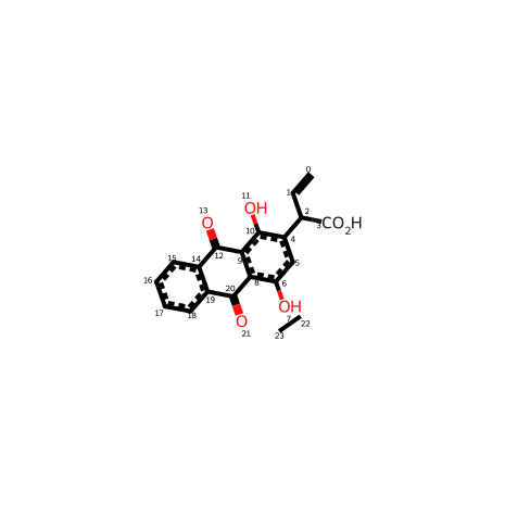 C=CC(C(=O)O)c1cc(O)c2c(c1O)C(=O)c1ccccc1C2=O.CC